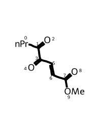 CCCC(=O)C(=O)/C=C/C(=O)OC